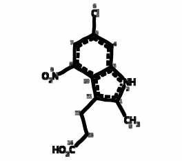 Cc1[nH]c2cc(Cl)cc([N+](=O)[O-])c2c1CCC(=O)O